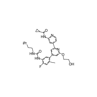 Cc1cc(F)c(NC(=O)NCCC(C)C)cc1-c1cc(OCCO)nc(-c2ccnc(NC(=O)C3CC3)c2)c1